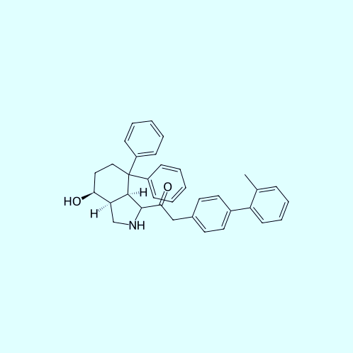 Cc1ccccc1-c1ccc(CC(=O)C2NC[C@H]3[C@@H](O)CCC(c4ccccc4)(c4ccccc4)[C@@H]23)cc1